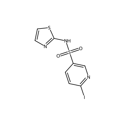 O=S(=O)(Nc1nccs1)c1ccc(I)nc1